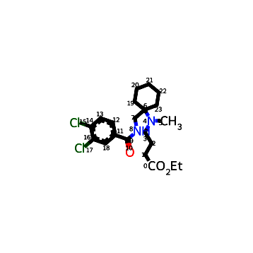 CCOC(=O)CCCN(C)C1(CNC(=O)c2ccc(Cl)c(Cl)c2)CCCCC1